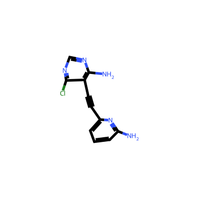 Nc1cccc(C#Cc2c(N)ncnc2Cl)n1